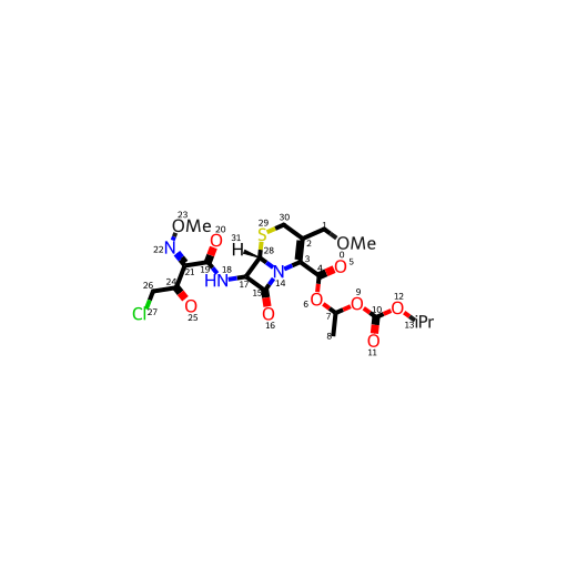 COCC1=C(C(=O)OC(C)OC(=O)OC(C)C)N2C(=O)C(NC(=O)/C(=N\OC)C(=O)CCl)[C@@H]2SC1